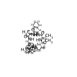 CC(C)[C@H](NC(=O)c1ccccc1F)C(=O)N[C@@H](Cc1ccccc1)C(=O)N[C@@H](C)C(=O)NCB1O[C@@H]2CC3C[C@@H](C3(C)C)[C@]2(C)O1